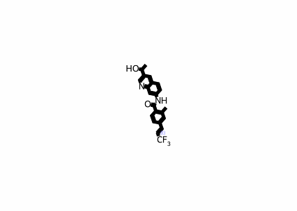 Cc1cc(/C=C/C(F)(F)F)ccc1C(=O)Nc1ccc2cc(C(C)O)cnc2c1